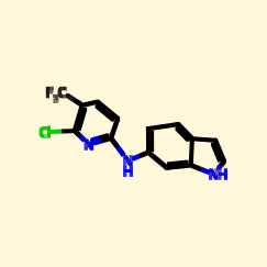 FC(F)(F)c1ccc(Nc2ccc3cc[nH]c3c2)nc1Cl